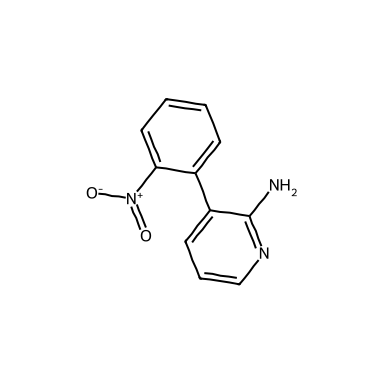 Nc1ncccc1-c1ccccc1[N+](=O)[O-]